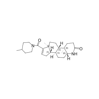 CC1CCN(C(=O)C2=CC[C@H]3[C@@H]4CC[C@H]5NC(=O)CC[C@]5(C)[C@H]4CC[C@]23C)CC1